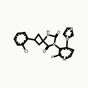 O=C1NC2(CC(c3ccccc3Cl)C2)C(=O)N1c1c(-n2ccnc2)ccnc1F